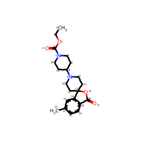 CCOC(=O)N1CCC(N2CCC3(CC2)OC(=O)c2ccc(C)cc23)CC1